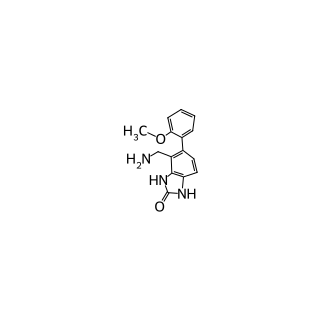 COc1ccccc1-c1ccc2[nH]c(=O)[nH]c2c1CN